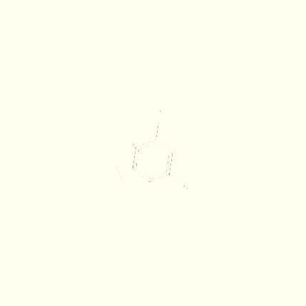 CO.O=[N+]([O-])c1cccc(C(F)(F)F)c1